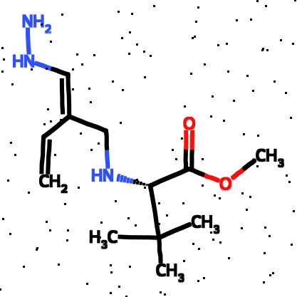 C=C/C(=C\NN)CN[C@H](C(=O)OC)C(C)(C)C